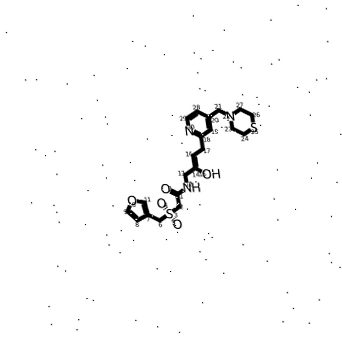 O=C(CS(=O)(=O)Cc1ccoc1)NCC(O)=CCc1cc(CN2CCSCC2)ccn1